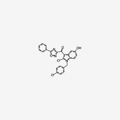 O=C(c1noc(-c2ccccc2)n1)c1c(Cl)n(Cc2ccc(Cl)cc2)c2ccc(O)cc12